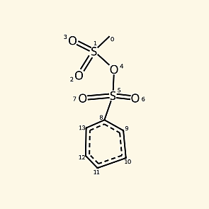 CS(=O)(=O)OS(=O)(=O)c1ccccc1